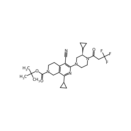 CC(C)(C)OC(=O)N1CCc2c(C#N)c(N3CCN(C(=O)CC(F)(F)F)[C@H](C4CC4)C3)nc(C3CC3)c2C1